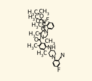 Cc1cc(C)c(C(=O)N2CCN(c3cccc(F)c3[S@](C)(=O)=NC(=O)OC(C)(C)C)C[C@@H]2C)c(C)c1NC1CCN(c2ccc(F)cc2C#N)CC1